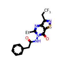 CCc1nc2c(CC(F)(F)F)nsc2c(=O)n1NC(=O)Cc1ccccc1